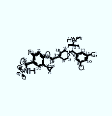 CNC(C)(C)[C@H](c1cc(Cl)cc(Cl)c1)N1CCC(COc2cc(F)c(C(=O)NS(C)(=O)=O)cc2C2CC2)CC1